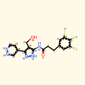 O=C(CCc1cc(F)c(F)c(F)c1)Nc1[nH]nc(-c2ccnnc2)c1CO